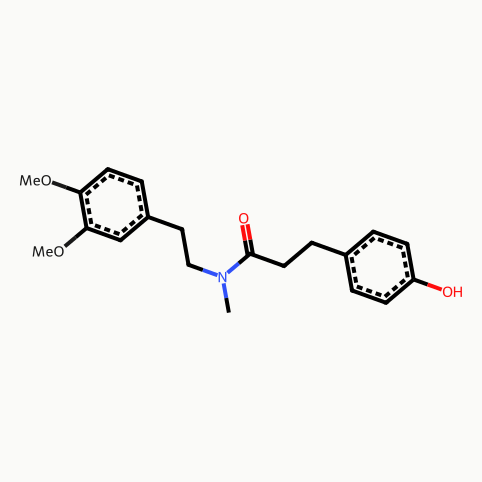 COc1ccc(CCN(C)C(=O)CCc2ccc(O)cc2)cc1OC